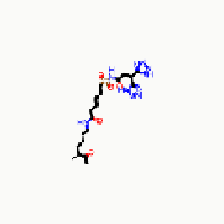 CC(=O)[C@@H](C)CCCCNC(=O)CCCCCS(=O)(=O)NC(=O)CC(c1nnn[nH]1)c1nnn[nH]1